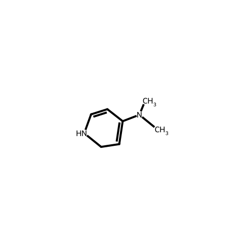 CN(C)C1=CCNC=C1